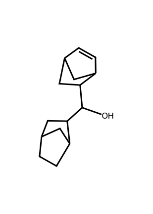 OC(C1CC2C=CC1C2)C1CC2CCC1C2